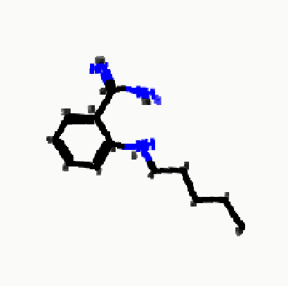 CCCCCNc1ccccc1C(=N)N